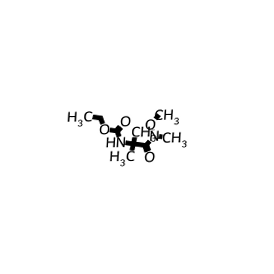 CCOC(=O)NC(C)(C)C(=O)N(C)OC